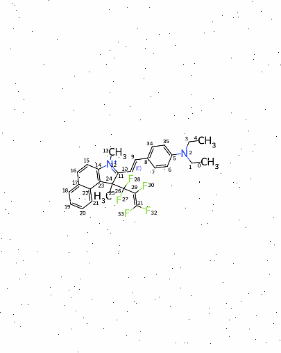 CCN(CC)c1ccc(/C=C/C2=[N+](C)c3ccc4ccccc4c3C2(C)C(F)(F)C(F)=C(F)F)cc1